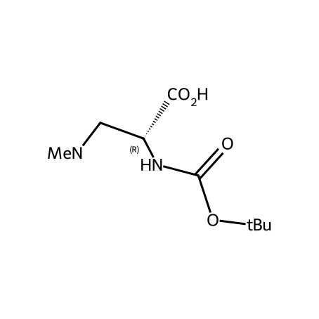 CNC[C@@H](NC(=O)OC(C)(C)C)C(=O)O